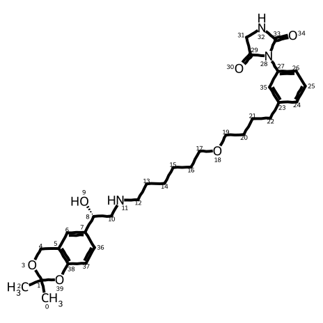 CC1(C)OCc2cc([C@H](O)CNCCCCCCOCCCCc3cccc(N4C(=O)CNC4=O)c3)ccc2O1